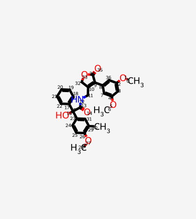 COc1cc(OC)cc(C2=C(CNC(=O)C(O)(c3ccccc3)c3ccc(OC)c(C)c3)COC2=O)c1